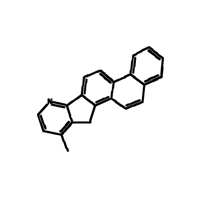 Cc1ccnc2c1Cc1c-2ccc2c1ccc1ccccc12